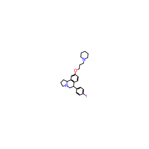 Ic1ccc(C2CN3CCCC3c3cc(OCCCN4CCCCC4)ccc32)cc1